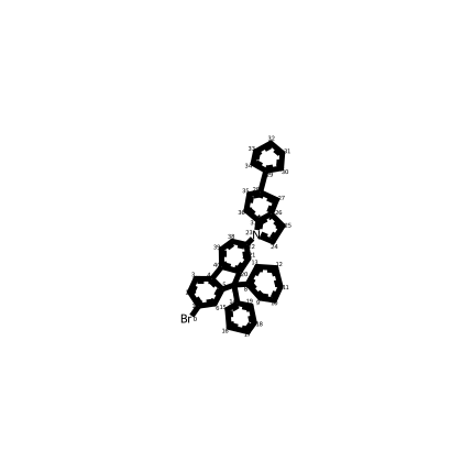 Brc1ccc2c(c1)C(c1ccccc1)(c1ccccc1)c1cc(-n3ccc4cc(-c5ccccc5)ccc43)ccc1-2